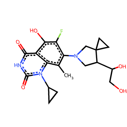 Cc1c(N2CC(C(O)CO)C3(CC3)C2)c(F)c(O)c2c(=O)[nH]c(=O)n(C3CC3)c12